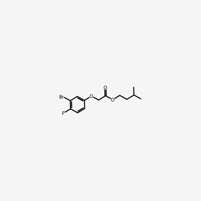 CC(C)CCOC(=O)COc1ccc(F)c(Br)c1